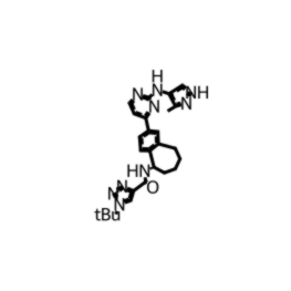 Cc1n[nH]cc1Nc1nccc(-c2ccc3c(c2)CCCC[C@H]3NC(=O)c2cn(C(C)(C)C)nn2)n1